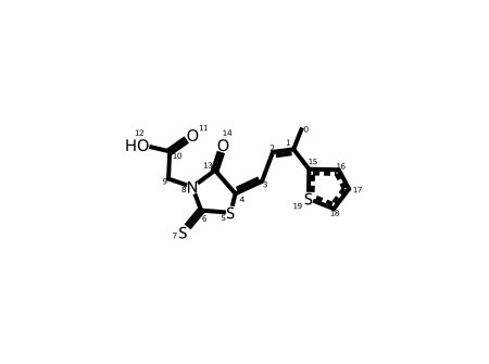 C/C(=C/C=C1/SC(=S)N(CC(=O)O)C1=O)c1cccs1